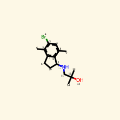 Cc1cc(Br)c(C)c2c1C(NCC(C)(C)O)CC2